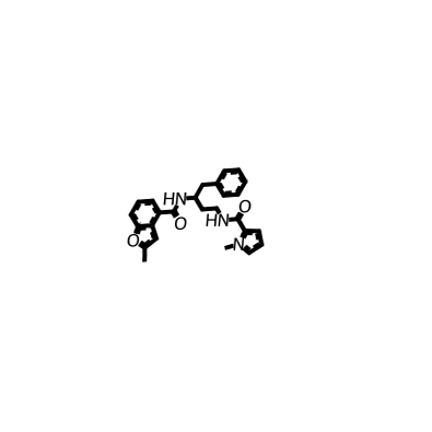 Cc1cc2c(C(=O)NC(CCNC(=O)c3cccn3C)Cc3ccccc3)cccc2o1